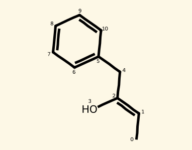 CC=C(O)Cc1ccccc1